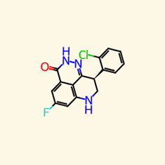 O=c1[nH]nc2c3c(cc(F)cc13)NC[C@@H]2c1ccccc1Cl